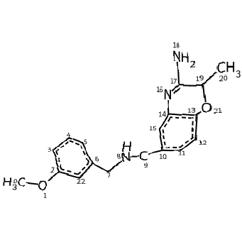 COc1cccc(CNCc2ccc3c(c2)N=C(N)C(C)O3)c1